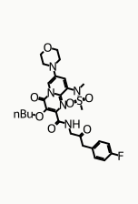 CCCCOc1c(C(=O)NCC(=O)Cc2ccc(F)cc2)nc2c(N(C)S(C)(=O)=O)cc(N3CCOCC3)cn2c1=O